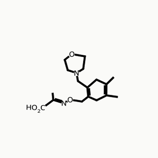 CC(=NOCC1=C(CN2CCOCC2)CC(C)=C(C)C1)C(=O)O